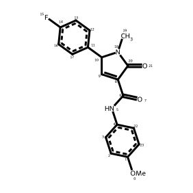 COc1ccc(NC(=O)C2=CC(c3ccc(F)cc3)N(C)C2=O)cc1